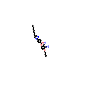 CCCCCCCCc1cnc(-c2ccc(C(=O)Oc3ccc(OCCCCC)c(C#N)c3C#N)cc2)nc1